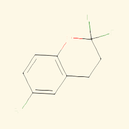 FC1(F)CCc2cc(Br)ccc2O1